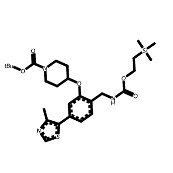 Cc1ncsc1-c1ccc(CNC(=O)OCC[Si](C)(C)C)c(OC2CCN(C(=O)OC(C)(C)C)CC2)c1